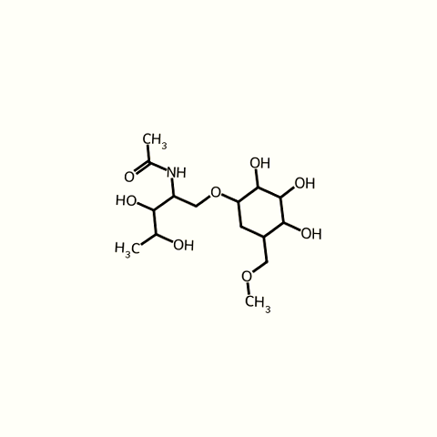 COCC1CC(OCC(NC(C)=O)C(O)C(C)O)C(O)C(O)C1O